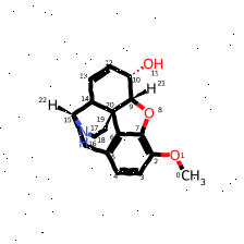 COc1ccc2c3c1O[C@H]1[C@@H](O)C=CC4[C@@H](C2)NCC[C@@]341